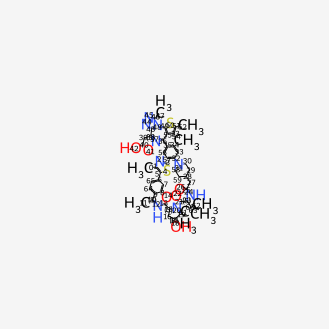 Cc1ncsc1-c1ccc([C@H](C)NC(=O)[C@@H]2C[C@@H](O)CN2C(=O)[C@@H](NC(=O)CC2CCN(c3ccc(C4=N[C@@H](CC(=O)O)c5nnc(C)n5-c5sc(C)c(C)c54)cc3)CC2)C(C)(C)C)cc1